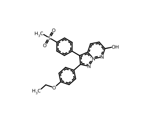 CCOc1ccc(-c2nn3nc(O)ccc3c2-c2ccc(S(C)(=O)=O)cc2)cc1